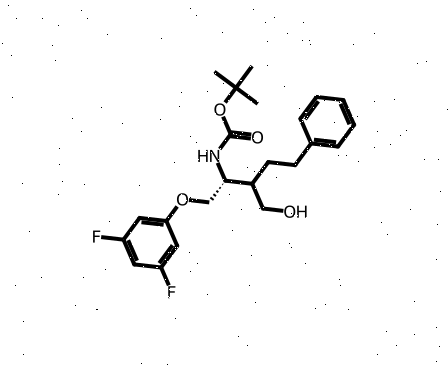 CC(C)(C)OC(=O)N[C@@H](COc1cc(F)cc(F)c1)C(CO)CCc1ccccc1